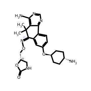 CC1(C)/C(=N/OC[C@@H]2CNC(=O)O2)c2cc(O[C@H]3CC[C@H](N)CC3)ccc2-c2ncnc(N)c21